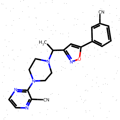 CC(c1cc(-c2cccc(C#N)c2)on1)N1CCN(c2nccnc2C#N)CC1